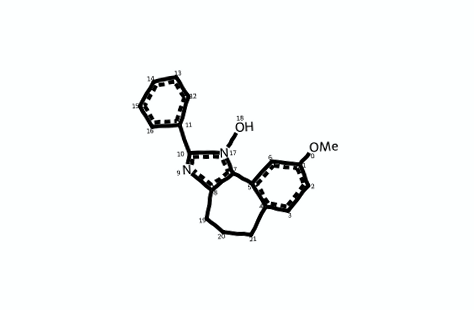 COc1ccc2c(c1)-c1c(nc(-c3ccccc3)n1O)CCC2